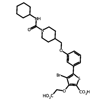 O=C(O)COc1c(C(=O)O)sc(-c2cccc(OCC3CCN(C(=O)NC4CCCCC4)CC3)c2)c1Br